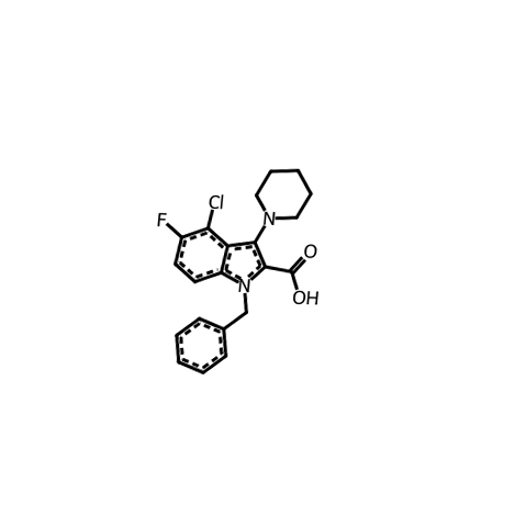 O=C(O)c1c(N2CCCCC2)c2c(Cl)c(F)ccc2n1Cc1ccccc1